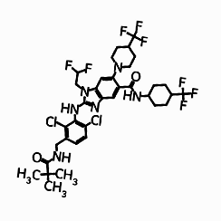 CC(C)(C)C(=O)NCc1ccc(Cl)c(Nc2nc3cc(C(=O)NC4CCC(C(F)(F)F)CC4)c(N4CCC(C(F)(F)F)CC4)cc3n2CC(F)F)c1Cl